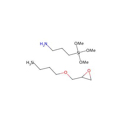 CO[Si](CCCN)(OC)OC.[SiH3]CCCOCC1CO1